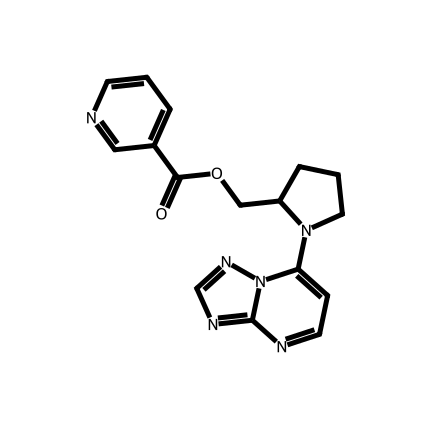 O=C(OCC1CCCN1c1ccnc2ncnn12)c1cccnc1